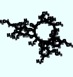 CCCNC[C@]1(O)[C@H](C)O[C@@H](OC2C(C)C(=O)OC(CC)C(C)(O)C(O)C(C)NCC(C)CC(C)(O)C(O[C@@H]3O[C@H](C)C[C@H](NC)[C@H]3Oc3ccc(OC)cc3OC)C2C)C[C@@]1(C)OC